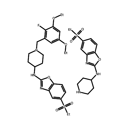 CCOc1cc(CN2CCC(Nc3nc4cc(S(=O)(=O)CC)ccc4o3)CC2)c(F)c(OCC)c1.CCS(=O)(=O)c1ccc2oc(NC3CCNCC3)nc2c1